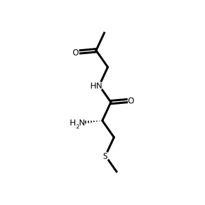 CSC[C@H](N)C(=O)NCC(C)=O